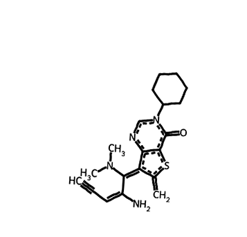 C#C/C=C(N)\C(=c1/c(=C)sc2c(=O)n(C3CCCCC3)cnc12)N(C)C